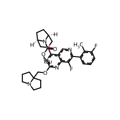 Cc1c(F)cccc1-c1ncc2c(N3C[C@H]4CC[C@@H](C3)N4C(=O)OC(C)(C)C)nc(OCC34CCCN3CCC4)nc2c1F